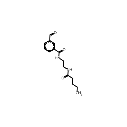 CCCCC(=O)NCCNC(=O)c1cccc(C=O)c1